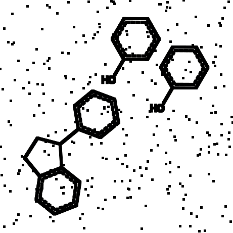 Oc1ccccc1.Oc1ccccc1.c1ccc(C2CCc3ccccc32)cc1